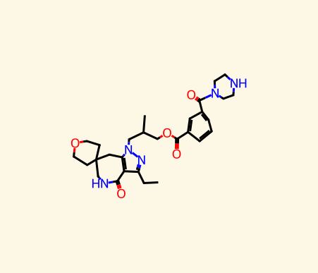 CCc1nn(CC(C)COC(=O)c2cccc(C(=O)N3CCNCC3)c2)c2c1C(=O)NCC1(CCOCC1)C2